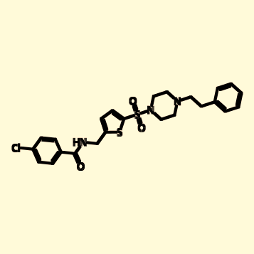 O=C(NCc1ccc(S(=O)(=O)N2CCN(CCc3ccccc3)CC2)s1)c1ccc(Cl)cc1